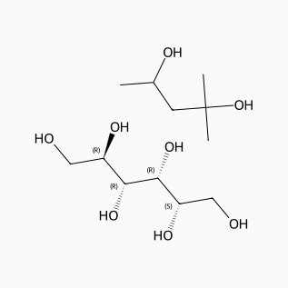 CC(O)CC(C)(C)O.OC[C@@H](O)[C@@H](O)[C@H](O)[C@@H](O)CO